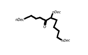 CCCCCCCCCCCCCC[C](CCCCCCCCCC)C(=O)CCCCCCCCCCCCC